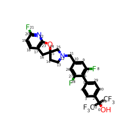 OC(c1ccc(-c2c(F)cc(CN3CCC4(Cc5ccc(F)nc5O4)C3)cc2F)cc1)(C(F)(F)F)C(F)(F)F